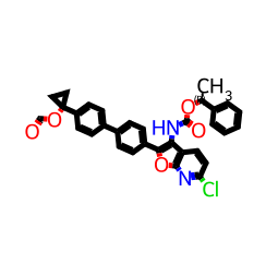 C[C@@H](OC(=O)Nc1c(-c2ccc(-c3ccc(C4(OC=O)CC4)cc3)cc2)oc2nc(Cl)ccc12)c1ccccc1